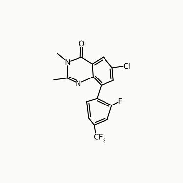 Cc1nc2c(-c3ccc(C(F)(F)F)cc3F)cc(Cl)cc2c(=O)n1C